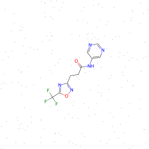 O=C(CCc1noc(C(F)(F)F)n1)Nc1cncnc1